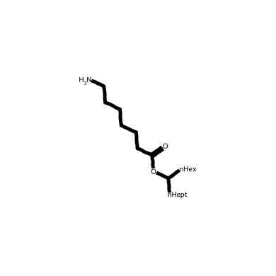 CCCCCCCC(CCCCCC)OC(=O)CCCCCCN